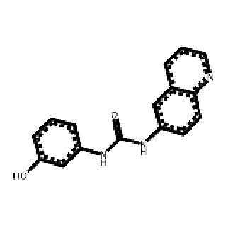 O=C(Nc1cccc(O)c1)Nc1ccc2ncccc2c1